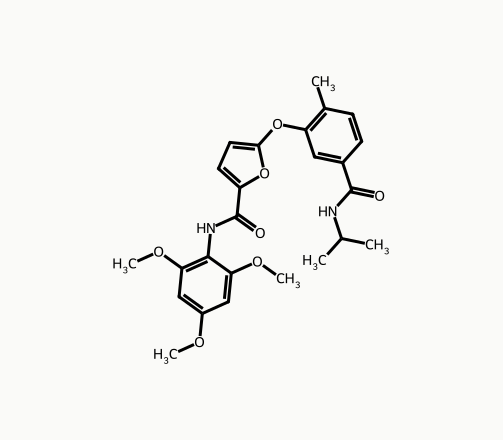 COc1cc(OC)c(NC(=O)c2ccc(Oc3cc(C(=O)NC(C)C)ccc3C)o2)c(OC)c1